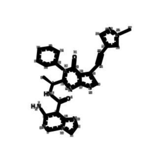 C[C@H](NC(=O)c1c(N)ncn2ccnc12)c1nc2scc(C#Cc3cnn(C)c3)c2c(=O)n1-c1ccccc1